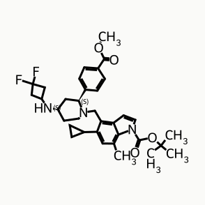 COC(=O)c1ccc([C@@H]2C[C@@H](NC3CC(F)(F)C3)CCN2Cc2c(C3CC3)cc(C)c3c2ccn3C(=O)OC(C)(C)C)cc1